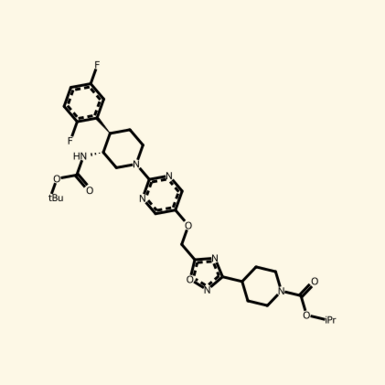 CC(C)OC(=O)N1CCC(c2noc(COc3cnc(N4CC[C@H](c5cc(F)ccc5F)[C@@H](NC(=O)OC(C)(C)C)C4)nc3)n2)CC1